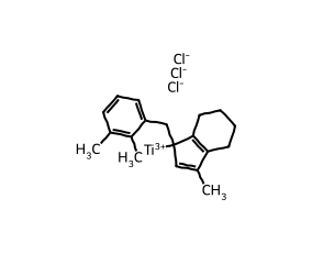 CC1=C[C]([Ti+3])(Cc2cccc(C)c2C)C2=C1CCCC2.[Cl-].[Cl-].[Cl-]